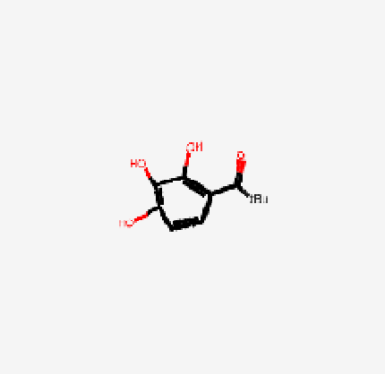 CC(C)(C)C(=O)c1ccc(O)c(O)c1O